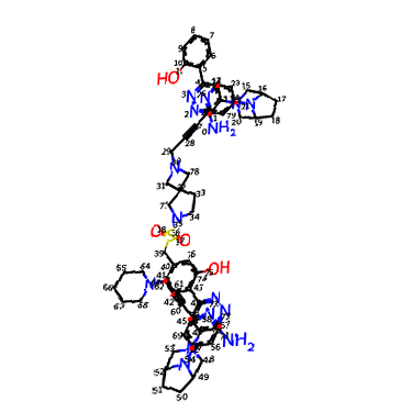 Nc1nnc(-c2ccccc2O)cc1N1CC2CCC(C1)N2c1ccnc(C#CCN2CC3(CCN(S(=O)(=O)Cc4ccc(-c5cc(N6CC7CCC(C6)N7c6ccnc(C#CCN7CCCCC7)c6)c(N)nn5)c(O)c4)C3)C2)c1